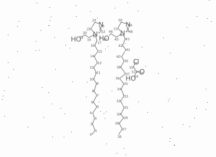 CCCCCCCCCCCCCCCCCC[N+]1(CCO)C=NCC1.CCCCCCCCCCCCCCCCCC[N+]1(CCO)C=NCC1.O=C(O)CCl